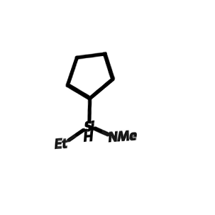 CC[SiH](NC)C1CCCC1